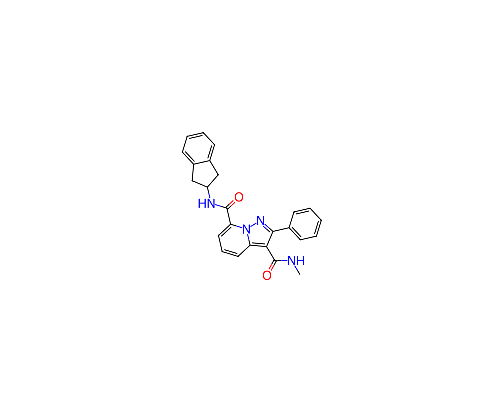 CNC(=O)c1c(-c2ccccc2)nn2c(C(=O)NC3Cc4ccccc4C3)cccc12